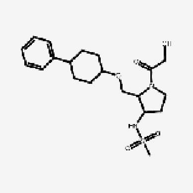 CS(=O)(=O)NC1CCN(C(=O)CO)C1COC1CCC(c2ccccc2)CC1